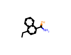 CCc1ccc(C(N)=P)c2ccccc12